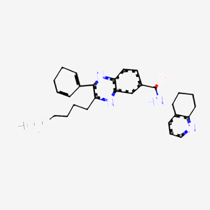 O=C(O)CCCCc1nc2cc(C(=O)N[C@@H]3CCCc4ncccc43)ccc2nc1C1=CCCC=C1